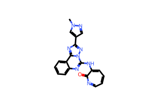 Cn1cc(-c2nc3c4ccccc4nc(Nc4ccccnc4=O)n3n2)cn1